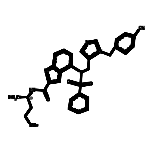 CSCC[C@H](NC(=O)c1cc2c(N(Cc3cncn3Cc3ccc(C#N)cc3)S(=O)(=O)c3ccccc3)cccc2s1)C(=O)O